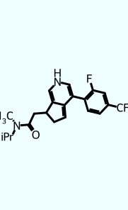 CC(C)N(C)C(=O)CC1CC=C2C(c3ccc(C(F)(F)F)cc3F)=CNC=C21